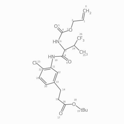 C=CCOC(=O)NC(C(=O)Nc1cc(CCC(=O)OC(C)(C)C)ccc1Cl)C(C)C(F)(F)F